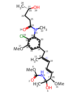 COC(=O)NC(C)(O)[C@@H](/C=C/C=C(\C)Cc1cc(OC)c(Cl)c(N(C)C(=O)CC[C@H](C)O)c1)OC